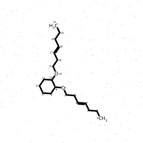 CCCC=CCCOC1CCCCC1OCCC=CCCC